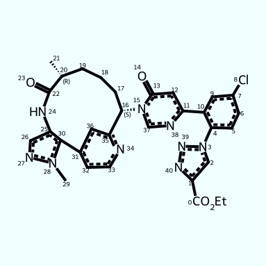 CCOC(=O)c1cn(-c2ccc(Cl)cc2-c2cc(=O)n([C@H]3CCC[C@@H](C)C(=O)Nc4cnn(C)c4-c4ccnc3c4)cn2)nn1